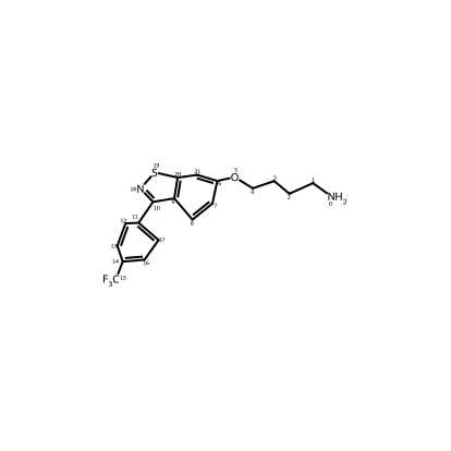 NCCCCOc1ccc2c(-c3ccc(C(F)(F)F)cc3)nsc2c1